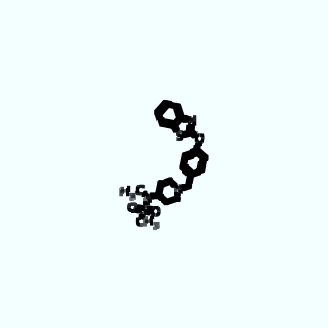 CN(C1CCN(Cc2ccc(Oc3nc4ccccc4s3)cc2)CC1)S(C)(=O)=O